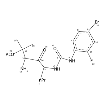 CCCC(NC(=O)Nc1ccc(Br)cc1F)C(=O)C(N)C(C)(C)OC(C)=O